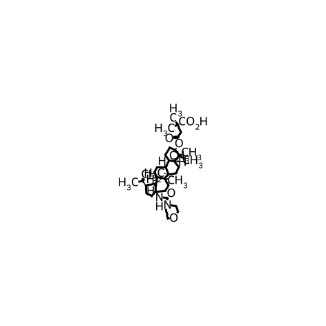 C=C(C)[C@@H]1CC[C@]2(NC(=O)N3CCOCC3)CC[C@]3(C)[C@H](CC[C@@H]4[C@@]5(C)CC[C@H](OC(=O)CC(C)(C)C(=O)O)C(C)(C)[C@@H]5CC[C@]43C)[C@@H]12